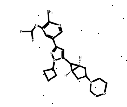 Nc1ncc(-c2cc(C3[C@H]4CC(N5CCOCC5)C[C@@H]34)n(C3CCC3)n2)cc1OC(F)F